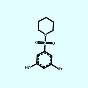 CC(C)c1cc(O)cc(S(=O)(=O)N2CCCCC2)c1